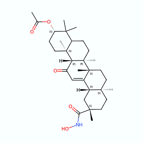 CC(=O)O[C@H]1CC[C@@]2(C)C(CC[C@]3(C)[C@@H]2C(=O)C=C2[C@H]4C[C@@](C)(C(=O)NO)CC[C@]4(C)CC[C@]23C)C1(C)C